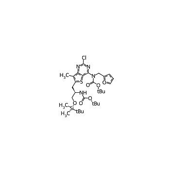 Cc1c(C[C@H](CO[Si](C)(C)C(C)(C)C)NC(=O)OC(C)(C)C)sc2c(N(Cc3ccco3)C(=O)OC(C)(C)C)nc(Cl)nc12